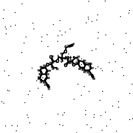 C#CCOCC(C)(COC(=O)C(Oc1ccc2ncc(C#C)cc2c1)SC)NC(=O)C(Oc1ccc2ncc(C#C)cc2c1)SC